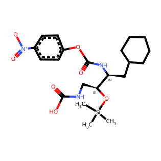 C[Si](C)(C)O[C@@H](CNC(=O)O)[C@H](CC1CCCCC1)NC(=O)Oc1ccc([N+](=O)[O-])cc1